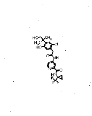 CC(C)(CO)c1cc(Cl)c(CC(=O)Nc2ccnc(C(=O)NC3(C(F)(F)F)CC3)c2)cc1O